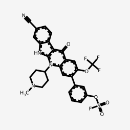 CN1CCC(n2c3cc(-c4cccc(OS(=O)(=O)F)c4)c(OC(F)(F)F)cc3c(=O)c3c4ccc(C#N)cc4[nH]c32)CC1